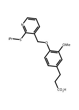 COc1cc(CCC(=O)O)ccc1OCc1cccnc1SC(C)C